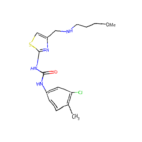 COCCCNCc1csc(NC(=O)Nc2ccc(C)c(Cl)c2)n1